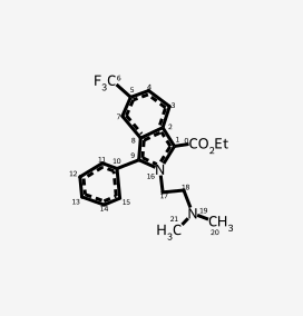 CCOC(=O)c1c2ccc(C(F)(F)F)cc2c(-c2ccccc2)n1CCN(C)C